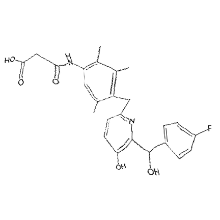 Cc1cc(NC(=O)CC(=O)O)c(C)c(C)c1Cc1ccc(O)c(C(O)c2ccc(F)cc2)n1